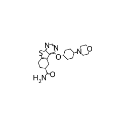 NC(=O)[C@H]1CCc2sc3ncnc(O[C@H]4CC[C@H](N5CCOCC5)CC4)c3c2C1